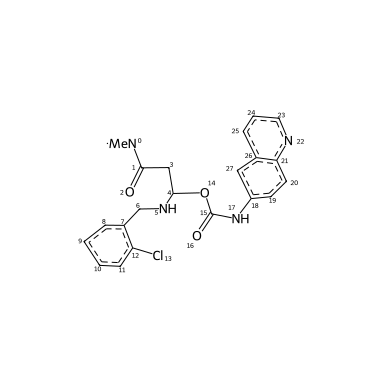 C[N]C(=O)CC(NCc1ccccc1Cl)OC(=O)Nc1ccc2ncccc2c1